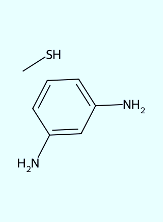 CS.Nc1cccc(N)c1